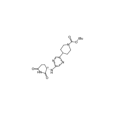 CC(C)(C)OC(=O)N1CCC(c2cnc(N[C@H]3CCC(=O)NC3=O)cn2)CC1